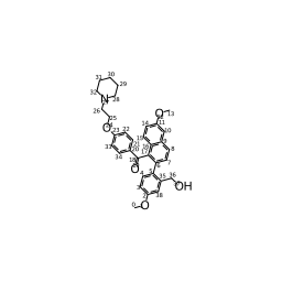 COc1ccc(-c2ccc3cc(OC)ccc3c2C(=O)c2ccc(OCCN3CCCCC3)cc2)c(CO)c1